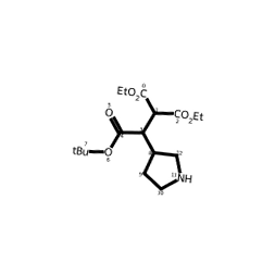 CCOC(=O)C(C(=O)OCC)C(C(=O)OC(C)(C)C)C1CCNC1